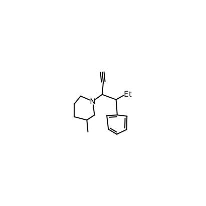 C#CC(C(CC)c1ccccc1)N1CCCC(C)C1